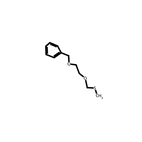 CSCOCCOCc1ccccc1